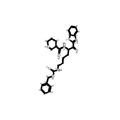 O=C(NCCCCC(NC(=O)C1CCCOC1)C(=O)c1nc2ccccc2s1)OCc1ccccc1